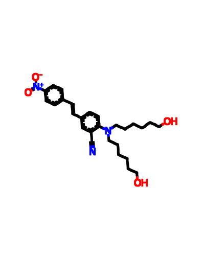 N#Cc1cc(C=Cc2ccc([N+](=O)[O-])cc2)ccc1N(CCCCCCO)CCCCCCO